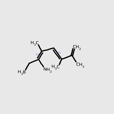 BC/C(N)=C(C)/C=C(\C)C(=C)C